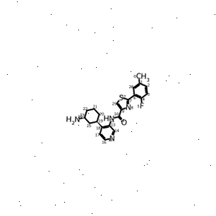 Cc1ccc(F)c(-c2nc(C(=O)Nc3cnccc3[C@@H]3CCC[C@H](N)C3)cs2)c1